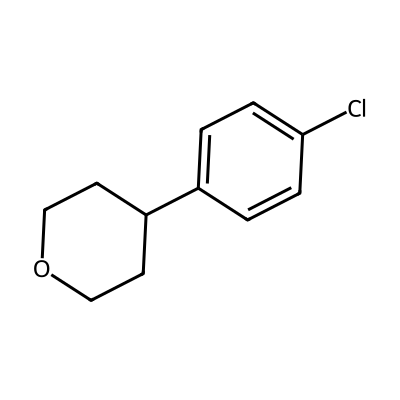 Clc1ccc(C2CCOCC2)cc1